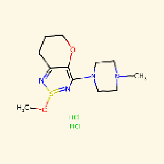 COS1=NC(N2CCN(C)CC2)=C2OCCCC2=N1.Cl.Cl